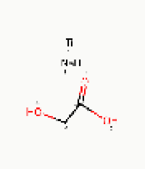 O=C(O)CO.[NaH].[Ti]